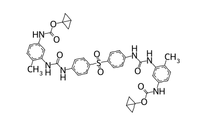 Cc1ccc(NC(=O)OC23CC2C3)cc1NC(=O)Nc1ccc(S(=O)(=O)c2ccc(NC(=O)Nc3cc(NC(=O)OC45CC4C5)ccc3C)cc2)cc1